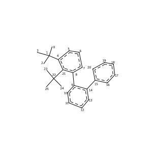 CC(C)(C)c1cccc(-c2ccccc2-c2ccccc2)c1C(C)(C)C